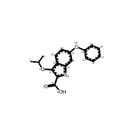 CC(C)Oc1c(C(=O)O)sc2cc(Oc3ccccc3)ccc12